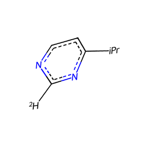 [2H]c1nccc(C(C)C)n1